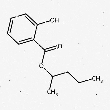 CCCC(C)OC(=O)c1ccccc1O